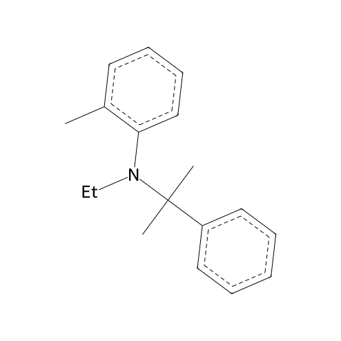 CCN(c1ccccc1C)C(C)(C)c1ccccc1